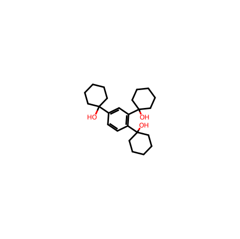 OC1(c2ccc(C3(O)CCCCC3)c(C3(O)CCCCC3)c2)CCCCC1